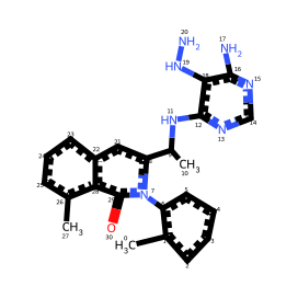 Cc1ccccc1-n1c(C(C)Nc2ncnc(N)c2NN)cc2cccc(C)c2c1=O